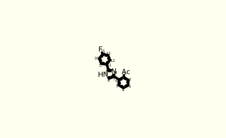 CC(=O)c1ccccc1-c1c[nH]c(-c2ccc(F)cc2)n1